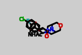 CC(=O)Nc1cc(Cl)ccc1C=CC(=O)N1C2COCC1CN(Cc1ccc(F)cc1)C2